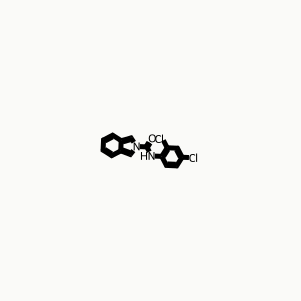 O=C(Nc1ccc(Cl)cc1Cl)n1cc2ccccc2c1